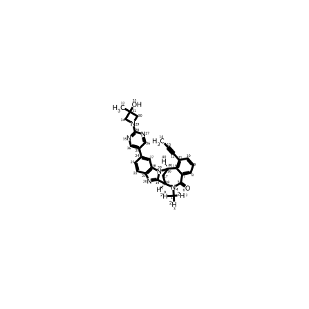 [2H]C([2H])([2H])N1C(=O)c2cccc(C#CC)c2[C@H]2C[C@@H]1c1nc3ccc(-c4cnc(N5CC(C)(O)C5)nc4)cc3n12